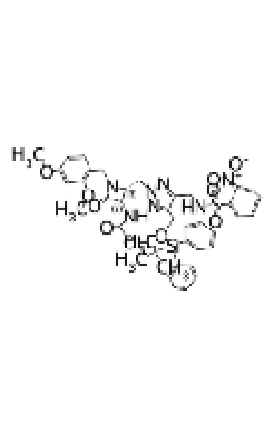 COc1ccc(CN2C(=O)[C@@H](NC(=O)O)[C@H]2Cn2nc(CNS(=O)(=O)c3ccccc3[N+](=O)[O-])c(CO[Si](c3ccccc3)(c3ccccc3)C(C)(C)C)n2)c(OC)c1